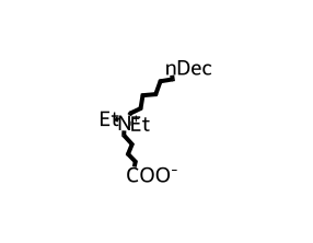 CCCCCCCCCCCCCCCC[N+](CC)(CC)CCCCC(=O)[O-]